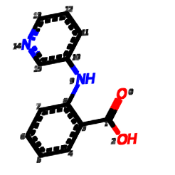 O=C(O)c1ccccc1Nc1cccnc1